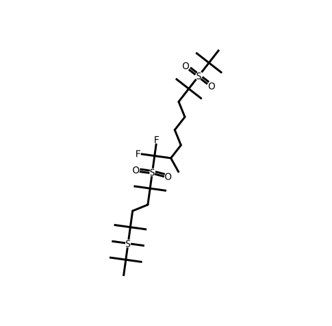 CC(CCCCC(C)(C)S(=O)(=O)C(C)(C)C)C(F)(F)S(=O)(=O)C(C)(C)CCC(C)(C)S(C)(C)C(C)(C)C